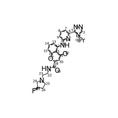 CC(C)n1cnnc1-c1cccc(Nc2cccc3oc(C(=O)NCCN4CC[C@@H](F)C4)cc(=O)c23)n1